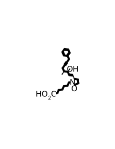 C[C@@H](CC#CCc1ccccc1)[C@@H](O)C=C[C@H]1CCC(=O)N1CCCCCCC(=O)O